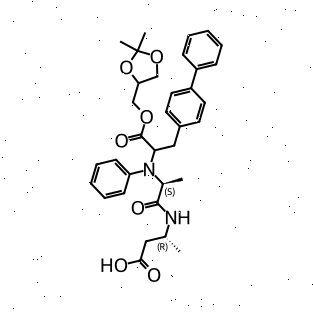 C[C@H](CC(=O)O)NC(=O)[C@H](C)N(c1ccccc1)C(Cc1ccc(-c2ccccc2)cc1)C(=O)OCC1COC(C)(C)O1